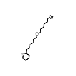 BrCCCCCCOCCCCCCc1ccccn1